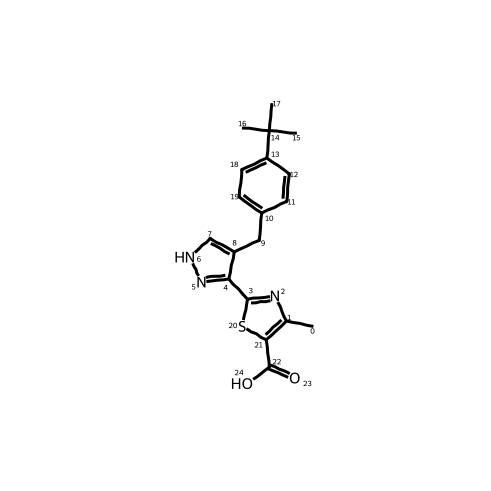 Cc1nc(-c2n[nH]cc2Cc2ccc(C(C)(C)C)cc2)sc1C(=O)O